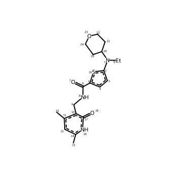 CCN(c1ccc(C(=O)NCc2c(C)cc(C)[nH]c2=O)s1)C1CCOCC1